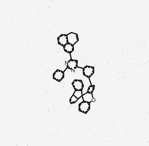 C1=CC2c3ccccc3C3(c4ccccc4Oc4ccc(-c5cccc(-c6cc(-c7cc8c9c(cccc9c7)CC=C8)nc(-c7ccccc7)n6)c5)cc43)C2C=C1